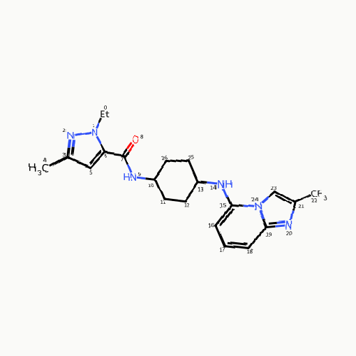 CCn1nc(C)cc1C(=O)NC1CCC(Nc2cccc3nc(C(F)(F)F)cn23)CC1